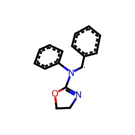 [CH](c1ccccc1)N(C1=NCCO1)c1ccccc1